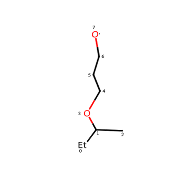 CCC(C)OCCC[O]